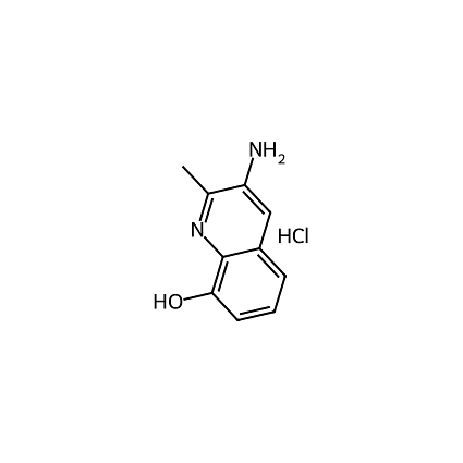 Cc1nc2c(O)cccc2cc1N.Cl